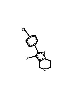 Clc1ccc(-c2nn3c(c2Br)COCC3)cc1